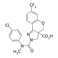 CN(C(=O)N1CC2(C(=O)O)COc3cc(C(F)(F)F)ccc3C2=N1)c1ccc(Cl)cc1